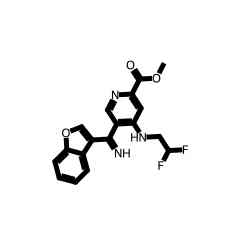 COC(=O)c1cc(NCC(F)F)c(C(=N)c2coc3ccccc23)cn1